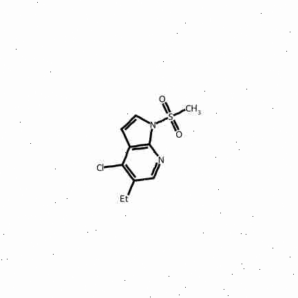 CCc1cnc2c(ccn2S(C)(=O)=O)c1Cl